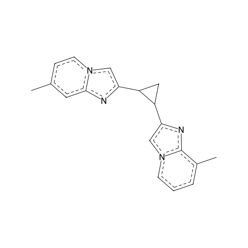 Cc1ccn2cc(C3CC3c3cn4cccc(C)c4n3)nc2c1